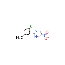 Cc1ccc(Cl)c(-c2ncc([N+](=O)[O-])cn2)c1